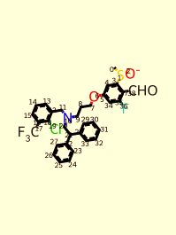 C[S+]([O-])c1cc(OCCCN(Cc2cccc(C(F)(F)F)c2Cl)CC(c2ccccc2)c2ccccc2)cc(F)c1C=O